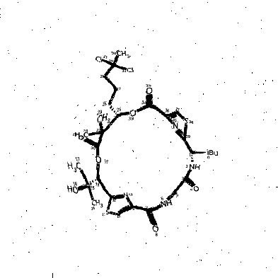 CC[C@H](C)[C@@H]1NC(=O)CNC(=O)c2csc(n2)[C@H](C(C)(C)O)OC(=O)C(C)(C)[C@H](CCCC(C)(Cl)Cl)OC(=O)c2csc1n2